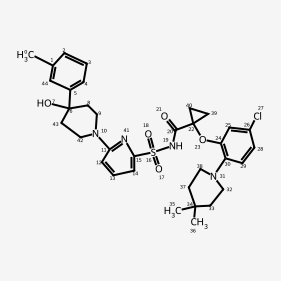 Cc1cccc(C2(O)CCN(c3cccc(S(=O)(=O)NC(=O)C4(Oc5cc(Cl)ccc5N5CCC(C)(C)CC5)CC4)n3)CC2)c1